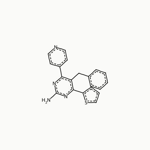 Nc1nc(-c2ccncc2)c(Cc2ccccc2)c(-c2cccs2)n1